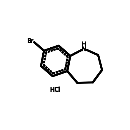 Brc1ccc2c(c1)NCCCC2.Cl